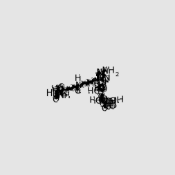 NC1=C2N=CN([C@@H]3O[C@H](COP(=O)(O)OP(=O)(O)OP(=O)(O)O)[C@@H](O)[C@H]3O)C2N(NCCCCCCNC(=O)CCCC[C@@H]2SC[C@@H]3NC(=O)N[C@@H]32)C=N1